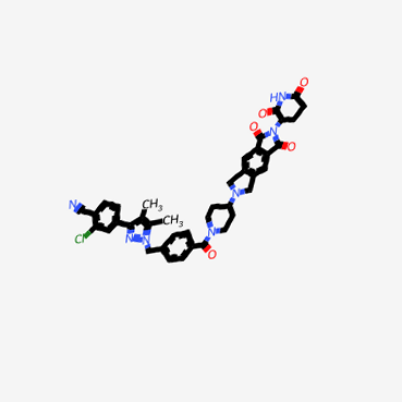 Cc1c(-c2ccc(C#N)c(Cl)c2)nn(Cc2ccc(C(=O)N3CCC(N4Cc5cc6c(cc5C4)C(=O)N(C4CCC(=O)NC4=O)C6=O)CC3)cc2)c1C